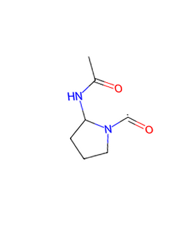 CC(=O)NC1CCCN1[C]=O